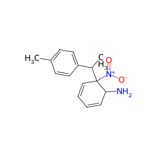 Cc1ccc(C(C)C2([N+](=O)[O-])C=CC=CC2N)cc1